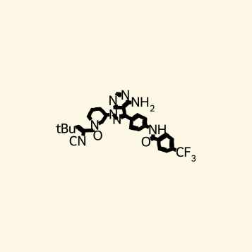 CC(C)(C)C=C(C#N)C(=O)N1CCCC(n2nc(-c3ccc(NC(=O)c4ccc(C(F)(F)F)cc4)cc3)c3c(N)ncnc32)C1